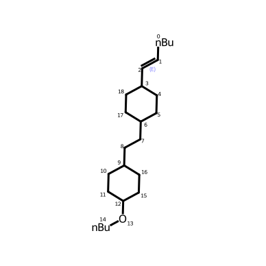 CCCC/C=C/C1CCC(CCC2CCC(OCCCC)CC2)CC1